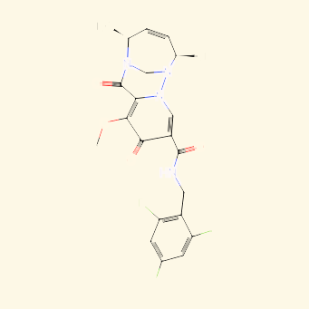 COc1c2n(cc(C(=O)NCc3c(F)cc(F)cc3F)c1=O)N1CN(C2=O)[C@@H](C)C=C[C@H]1C